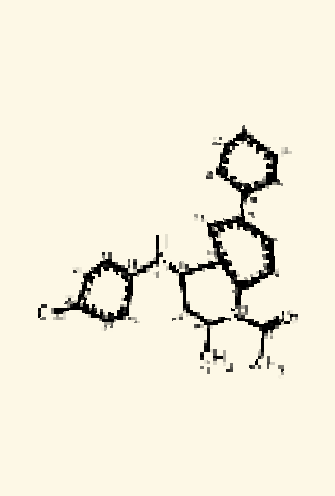 CC(=O)N1c2ccc(-c3ccccc3)cc2[C@H](Nc2ccc(Cl)cc2)C[C@@H]1C